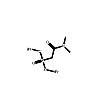 CC(C)OP(=O)(CC(=O)N(C)C)OC(C)C